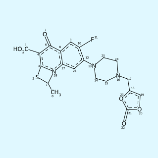 CC1Sc2c(C(=O)O)c(=O)c3cc(F)c(N4CCN(Cc5coc(=O)o5)CC4)cc3n21